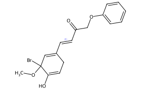 COC1(Br)C=C(/C=C/C(=O)COc2ccccc2)CC=C1O